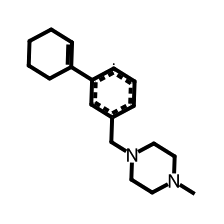 CN1CCN(Cc2cc[c]c(C3=CCCCC3)c2)CC1